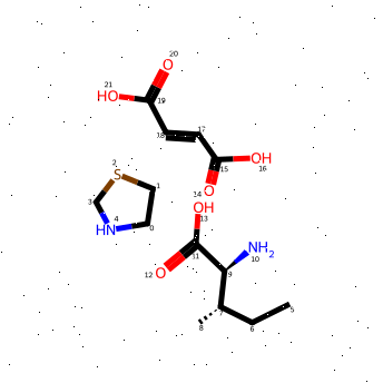 C1CSCN1.CC[C@H](C)[C@H](N)C(=O)O.O=C(O)C=CC(=O)O